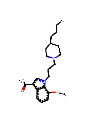 CCCCC1CCN(CCCn2cc(C(C)=O)c3cccc(OC)c32)CC1